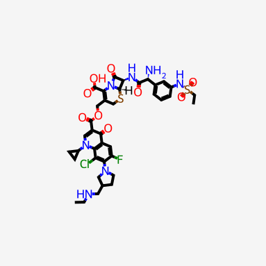 CCNCC1CCN(c2c(F)cc3c(=O)c(C(=O)OCC4=C(C(=O)O)N5C(=O)[C@@H](NC(=O)[C@H](N)c6cccc(NS(=O)(=O)CC)c6)[C@H]5SC4)cn(C4CC4)c3c2Cl)C1